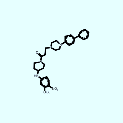 CC(C)COc1cc(NC2CCN(C(=O)CCN3CCN(c4ccc(-c5ccccc5)cc4)CC3)CC2)ccc1[N+](=O)[O-]